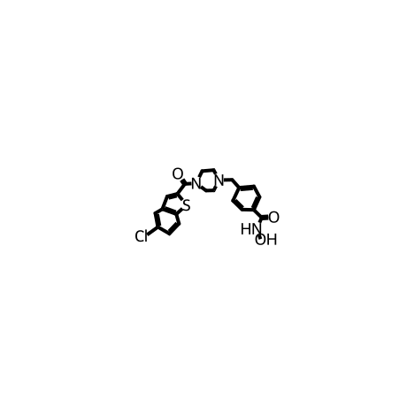 O=C(NO)c1ccc(CN2CCN(C(=O)c3cc4cc(Cl)ccc4s3)CC2)cc1